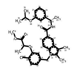 COC(=O)C(C)Oc1cc(Cn2c(C)c(C)c3cc(C(=O)N[C@@H](C)c4cccc(OC(C)C)c4)ccc32)ccc1Cl